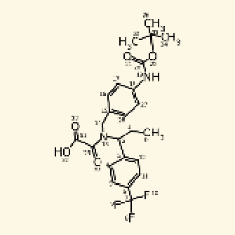 CCC(c1ccc(C(F)(F)F)cc1)N(Cc1ccc(NC(=O)OC(C)(C)C)cc1)C(=O)C(=O)O